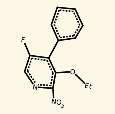 CCOc1c([N+](=O)[O-])ncc(F)c1-c1ccccc1